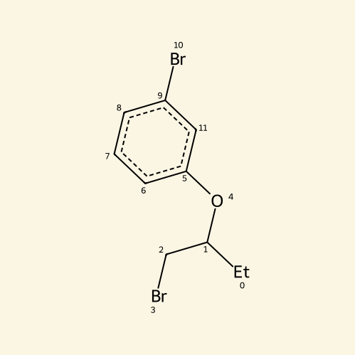 CCC(CBr)Oc1cccc(Br)c1